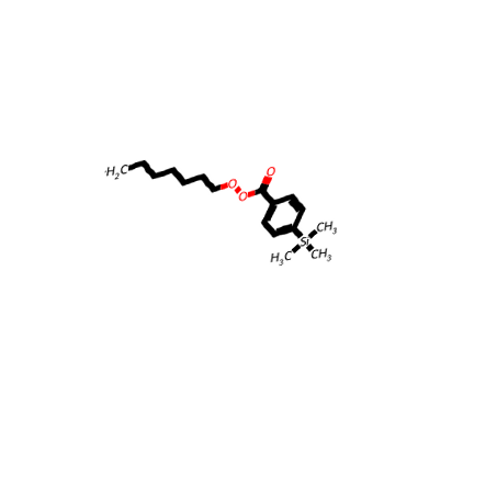 [CH2]CCCCCCOOC(=O)c1ccc([Si](C)(C)C)cc1